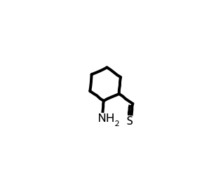 NC1CCCCC1C=S